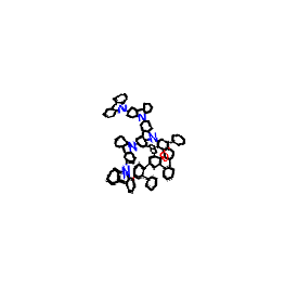 c1ccc(-c2cc3c4c(c2)-n2c5ccc(-n6c7ccccc7c7cc(-n8c9ccccc9c9ccccc98)ccc76)cc5c5cc(-n6c7ccccc7c7cc(-n8c9ccccc9c9ccccc98)ccc76)cc(c52)B4c2cc(-c4ccccc4-c4ccccc4)cc(-c4ccccc4-c4ccccc4)c2O3)cc1